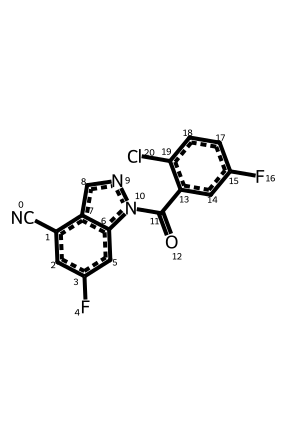 N#Cc1cc(F)cc2c1cnn2C(=O)c1cc(F)ccc1Cl